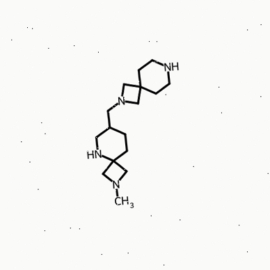 CN1CC2(CCC(CN3CC4(CCNCC4)C3)CN2)C1